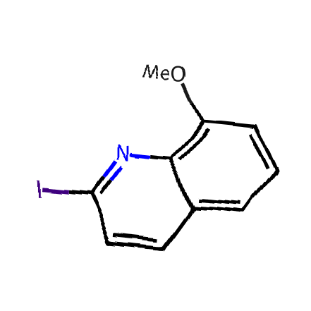 COc1cccc2ccc(I)nc12